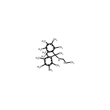 Bc1c(C)c(C)c(C)c(C(C)(NCNC)c2c(C)c(C)c(C)c(C)c2C)c1C